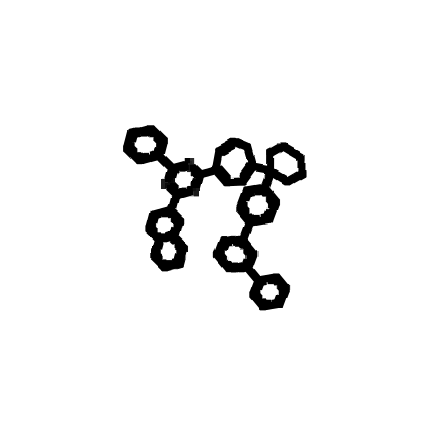 C1=CC(c2nc(-c3ccccc3)nc(-c3ccc4ccccc4c3)n2)=CC=C(C2(c3ccc(-c4cccc(-c5ccccc5)c4)cc3)CCCCC2)C1